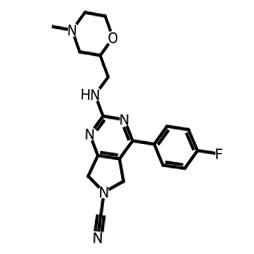 CN1CCOC(CNc2nc3c(c(-c4ccc(F)cc4)n2)CN(C#N)C3)C1